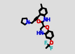 Cc1ccc(NC(=O)C2CNc3cc(OC(C)(F)F)ccc3O2)c(C#CCN2CCCC2)c1